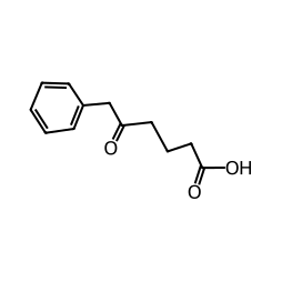 O=C(O)CCCC(=O)Cc1ccccc1